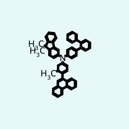 CC1CC(N(c2ccc(-c3ccccc3-c3ccccc3)cc2)c2ccc3c(c2)-c2ccccc2C3(C)C)=CC=C1c1cc2ccccc2c2ccccc12